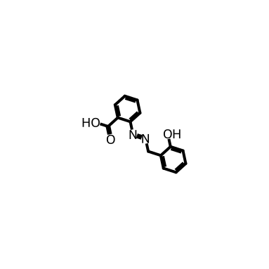 O=C(O)c1ccccc1N=NCc1ccccc1O